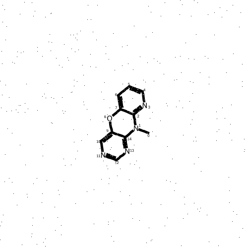 CN1c2ncccc2Oc2cncnc21